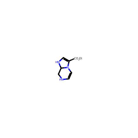 CCOC(=O)C1=CNC2CNC=CN12